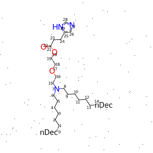 CCCCCCCCCCCCCCCCN(CCCCCCCCCCCCCCCC)CCOCCOC(=O)CCc1cnc[nH]1